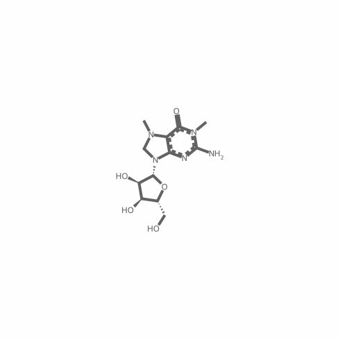 CN1CN([C@@H]2O[C@H](CO)[C@@H](O)[C@H]2O)c2nc(N)n(C)c(=O)c21